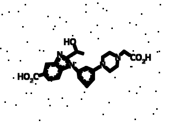 CC(O)c1nc2cc(C(=O)O)ccc2n1-c1cccc(N2CCN(CC(=O)O)CC2)c1